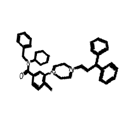 Cc1ccc(C(=O)N(Cc2ccccc2)C2CCCCC2)cc1N1CCN(CCC(c2ccccc2)c2ccccc2)CC1